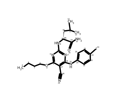 CCCCOc1nc(N[C@H](CC(C)C)C(N)=O)nc(Nc2ccc(I)cc2)c1C#N